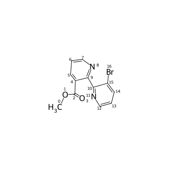 COC(=O)c1cccnc1-c1ncccc1Br